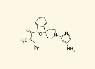 CC(C)CN(C)C(=O)C1OC2(CCN(c3cc(N)ccn3)CC2)c2ccccc21